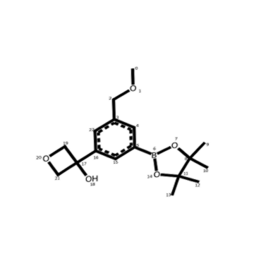 COCc1cc(B2OC(C)(C)C(C)(C)O2)cc(C2(O)COC2)c1